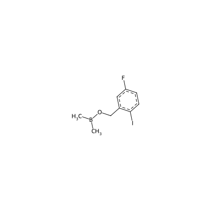 CB(C)OCc1cc(F)ccc1I